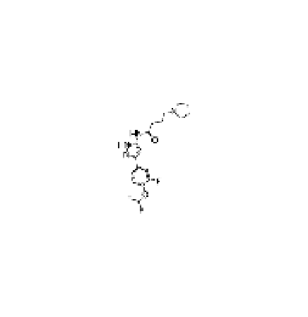 O=C(CCCN1CCCC1)Nc1cc(-c2ccc(OC(F)F)c(F)c2)n[nH]1